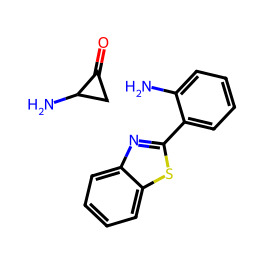 NC1CC1=O.Nc1ccccc1-c1nc2ccccc2s1